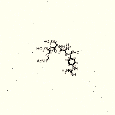 CC(=O)NCSCC(NC(=O)C(CC(=O)O)NC(=O)C(N)CN(C=O)c1ccc(NC(=N)N)cc1)C(=O)O